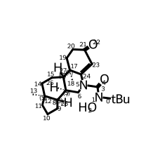 CC(C)(C)N(O)C(=O)N1C[C@H]2[C@@H]3CCC[C@@]3(C)CC[C@@H]2[C@@]2(C)CCC(=O)C=C12